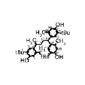 Cc1cc(O)c(C(C)(C)C)cc1C(C)CCC(c1cc(C(C)(C)C)c(O)cc1C)c1cc(C(C)(C)C)c(O)cc1C